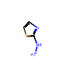 NNc1n[c]cs1